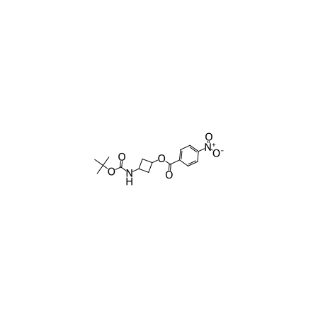 CC(C)(C)OC(=O)NC1CC(OC(=O)c2ccc([N+](=O)[O-])cc2)C1